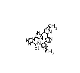 CCC1c2nncn2-c2cnc(-c3cn(C)nc3-c3nccs3)nc2N1c1cnn(C)c1